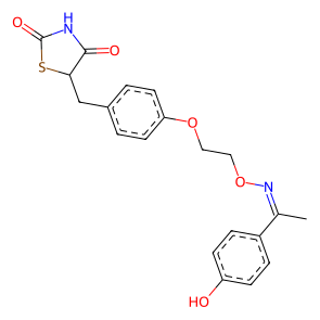 C/C(=N/OCCOc1ccc(CC2SC(=O)NC2=O)cc1)c1ccc(O)cc1